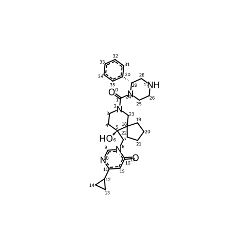 O=C(N1CC[C@@](O)(Cn2cnc(C3CC3)cc2=O)C2(CCCC2)C1)N1CCNC[C@H]1c1ccccc1